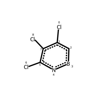 Clc1cbnc(Cl)c1Cl